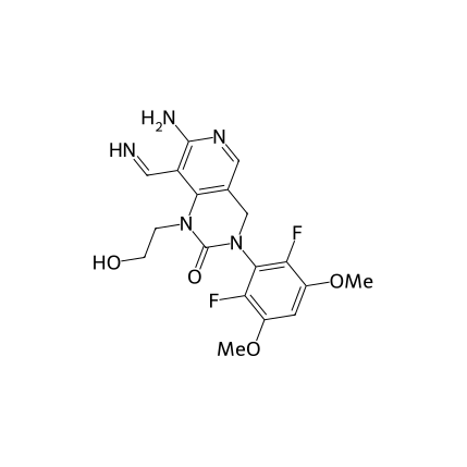 COc1cc(OC)c(F)c(N2Cc3cnc(N)c(C=N)c3N(CCO)C2=O)c1F